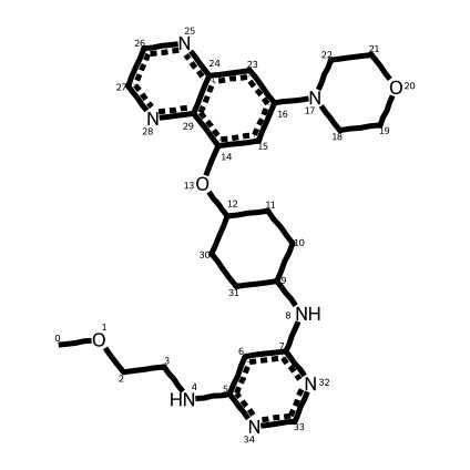 COCCNc1cc(NC2CCC(Oc3cc(N4CCOCC4)cc4nccnc34)CC2)ncn1